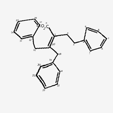 CCOC(=O)C(CCc1ccccc1)=C(Cc1ccccc1)Cc1ccccc1